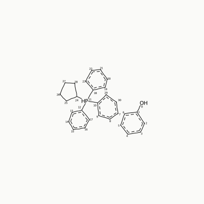 Oc1ccccc1.c1ccc([PH](c2ccccc2)(c2ccccc2)C2CCCC2)cc1